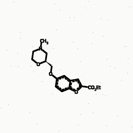 CCOC(=O)c1cc2cc(OC[C@H]3CN(C)CCO3)ccc2o1